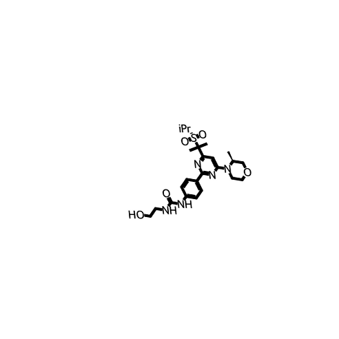 CC(C)S(=O)(=O)C(C)(C)c1cc(N2CCOC[C@@H]2C)nc(-c2ccc(NC(=O)NCCO)cc2)n1